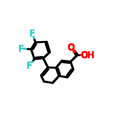 O=C(O)c1ccc2c(c1)C(c1ccc(F)c(F)c1F)=CCC2